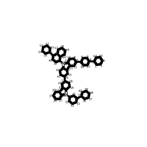 c1ccc(-c2ccc(-c3ccc4c(c3)c3cc(-c5ccc6c(c5)c5ccccc5n6-c5cccc(-c6ccccc6)c5)ccc3n4-c3ccc(-c4ccccc4)c4ccccc34)cc2)cc1